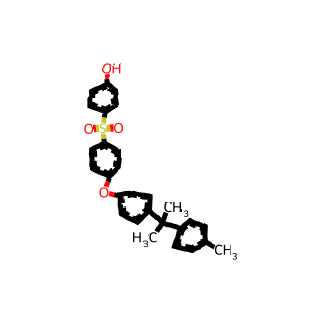 Cc1ccc(C(C)(C)c2ccc(Oc3ccc(S(=O)(=O)c4ccc(O)cc4)cc3)cc2)cc1